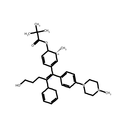 C[C@@H]1C=C(/C(=C(\CCCO)C2C=CC=CC2)c2ccc(N3CCN(C)CC3)cc2)C=CC1OC(=O)C(C)(C)C